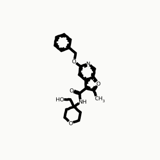 Cc1oc2cnc(OCc3ccccc3)cc2c1C(=O)NC1(CO)CCOCC1